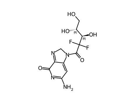 NC1=NC(=O)C2=NCN(C(=O)C(F)(F)[C@H](O)[C@H](O)CO)C2=C1